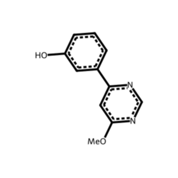 COc1cc(-c2cccc(O)c2)ncn1